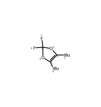 CC(C)(C)C1=C(C(C)(C)C)OC(F)(F)O1